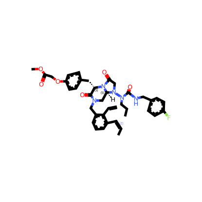 C=Cc1c(/C=C\C)cccc1CN1C[C@H]2N(C(=O)CN2N(CCC)C(=O)NCc2ccc(F)cc2)[C@@H](Cc2ccc(OCC(=O)OC)cc2)C1=O